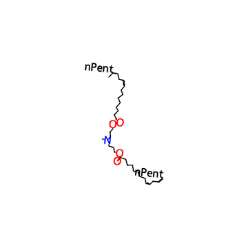 CCCCC/C=C\C/C=C\CCCCCCCC(=O)OCCCN(C)CCCOC(=O)CCCCCCC/C=C\CC[C@H](C)CCCCC